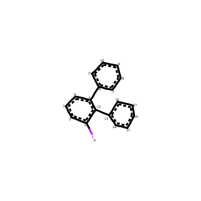 Ic1cccc(-c2ccccc2)c1-c1ccccc1